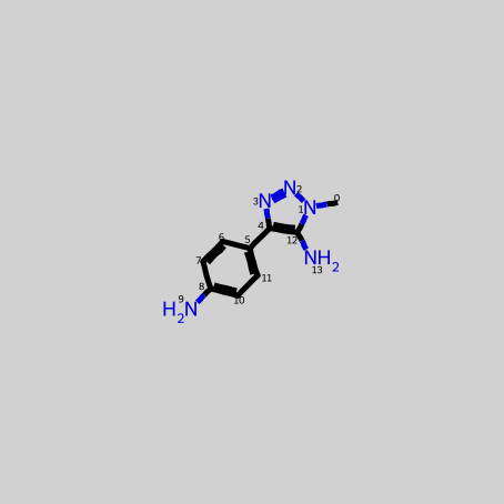 Cn1nnc(-c2ccc(N)cc2)c1N